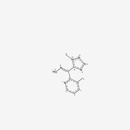 Cc1cccnc1/C(=N\O)c1nnnn1C